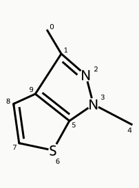 Cc1nn(C)c2sccc12